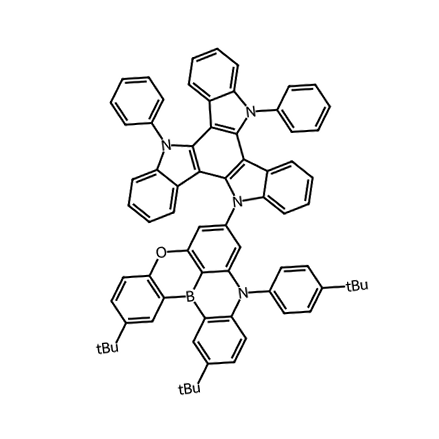 CC(C)(C)c1ccc(N2c3ccc(C(C)(C)C)cc3B3c4cc(C(C)(C)C)ccc4Oc4cc(-n5c6ccccc6c6c7c(c8ccccc8n7-c7ccccc7)c7c(c8ccccc8n7-c7ccccc7)c65)cc2c43)cc1